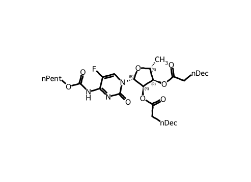 CCCCCCCCCCCC(=O)O[C@@H]1[C@H](OC(=O)CCCCCCCCCCC)[C@@H](C)O[C@H]1n1cc(F)c(NC(=O)OCCCCC)nc1=O